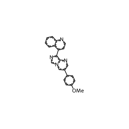 COc1ccc(-c2cnc3c(-c4ccnc5ccccc45)ncn3c2)cc1